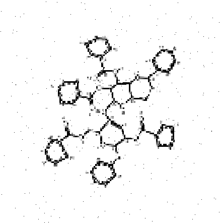 O=C(OCC1OC(Sc2ccccc2)C(OC(=O)c2ccccc2)C=C1OC1OC2COC(c3ccccc3)OC2C(OC(=O)c2ccccc2)C1OC(=O)c1ccccc1)c1ccccc1